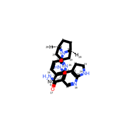 N#Cc1ccc(N2[C@@H]3CC[C@H]2C[C@H](Nc2c(C(N)=O)cnc4c2CCN4)C3)nc1